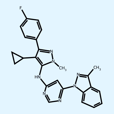 Cc1nn(-c2cc(Nc3c(C4CC4)c(-c4ccc(F)cc4)nn3C)ncn2)c2ccccc12